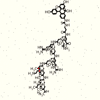 CNC(=O)CN(C[C@@H](NC(=O)CN(C[C@H](CC(C)C)NC(=O)CN(C[C@H](CCCNC(=N)N)NC(=O)CN(C[C@H](CCCNC(=N)N)NC(=O)CN(C[C@H](CCC(=O)O)NC(=O)CCNC(=S)Nc1ccc(C2c3ccc(O)cc3Oc3cc(O)ccc32)c(C(=O)O)c1)S(=O)(=O)CCN)S(C)(=O)=O)S(C)(=O)=O)S(=O)(=O)CCN)C(C)O)S(=O)(=O)CC(C)C